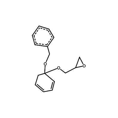 C1=CCC(OCc2ccccc2)(OCC2CO2)C=C1